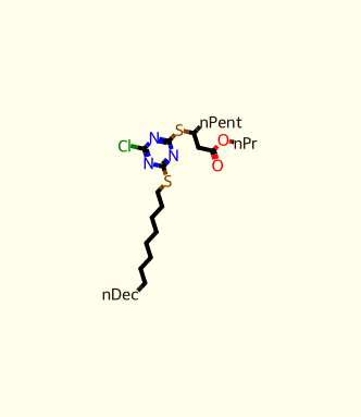 CCCCCCCCCCCCCCCCCCSc1nc(Cl)nc(SC(CCCCC)CC(=O)OCCC)n1